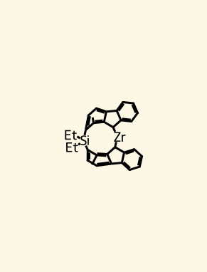 CC[Si]1(CC)c2ccc3c(c2C)[CH]([Zr][CH]2c4ccccc4-c4ccc1c(C)c42)c1ccccc1-3